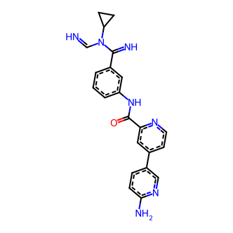 N=CN(C(=N)c1cccc(NC(=O)c2cc(-c3ccc(N)nc3)ccn2)c1)C1CC1